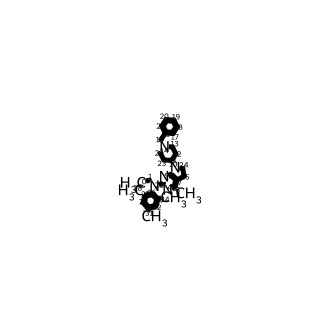 CCN(c1nc(C)c2c(n1)N(C1CCN(Cc3ccccc3)CC1)CC2)c1c(C)cc(C)cc1C